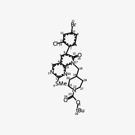 CSc1ncc2cc(-c3ccc(Br)cc3Cl)c(=O)n(CC3CCN(C(=O)OC(C)(C)C)CC3)c2n1